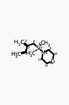 C=CC(=C)C[Si](C)(C)N1CCOCC1